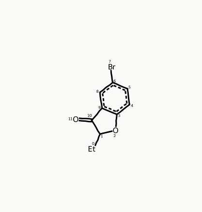 CCC1Oc2ccc(Br)cc2C1=O